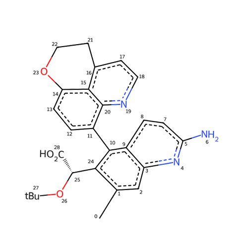 Cc1cc2nc(N)ccc2c(-c2ccc3c4c(ccnc24)CCO3)c1[C@H](OC(C)(C)C)C(=O)O